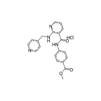 COC(=O)c1ccc(NC(=O)c2cccnc2NCc2ccncc2)cc1.Cl